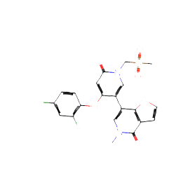 Cn1cc(-c2cn(CS(C)(=O)=O)c(=O)cc2Oc2ccc(F)cc2F)c2occc2c1=O